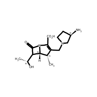 C[C@@H](O)C1C(=O)N2C(C(=O)O)=C(CN3CC[C@@H](N)C3)[C@H](C)[C@H]12